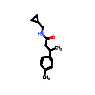 Cc1ccc(C(C)CC(=O)NCC2CC2)cc1